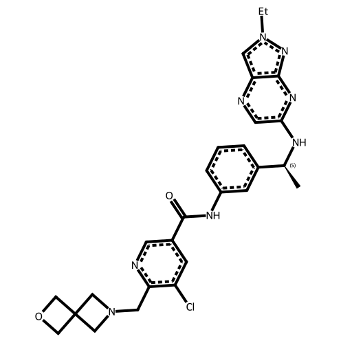 CCn1cc2ncc(N[C@@H](C)c3cccc(NC(=O)c4cnc(CN5CC6(COC6)C5)c(Cl)c4)c3)nc2n1